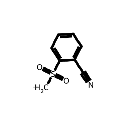 [CH2]S(=O)(=O)c1ccccc1C#N